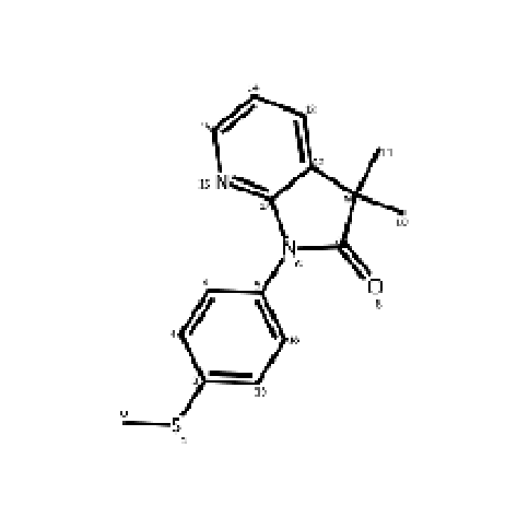 CSc1ccc(N2C(=O)C(C)(C)c3cccnc32)cc1